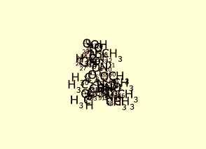 CC[C@H](C)[C@@H]([C@@H](CC(=O)N1CCC[C@H]1[C@H](OC)[C@@H](C)C(=O)N[C@@H](Cc1ccccc1)C(=O)O)OC)N(C)C(=O)[C@@H](NC(=O)[C@H](C(C)C)N(C)C(=O)CCC[SH](C)(C)=O)C(C)C